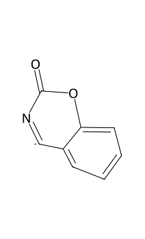 O=c1n[c]c2ccccc2o1